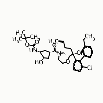 C=CCC[C@@](O)(c1cccc(Cl)c1-c1cccc(CC)c1)[C@H]1CN(C(=O)[C@@H]2C[C@H](O)[C@H](NC(=O)OC(C)(C)C)C2)CCO1